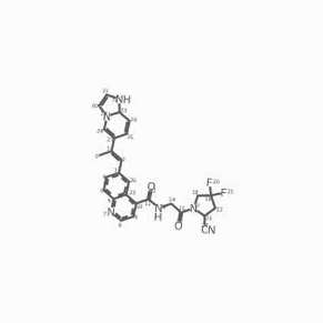 C/C(=C\c1ccc2nccc(C(=O)NCC(=O)N3CC(F)(F)CC3C#N)c2c1)C1=CN2C=CNC2C=C1